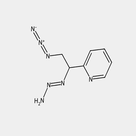 [N-]=[N+]=NCC(N=NN)c1ccccn1